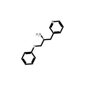 N[C@H](CSc1ccccc1)Cc1cccnc1